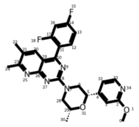 COc1cc([C@H]2CN(c3nc(-c4ccc(F)cc4F)c4cc(C)c(C)nc4n3)C[C@@H](C)O2)ccn1